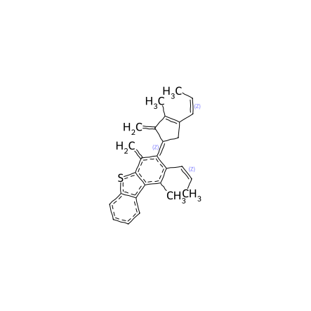 C=C1C(C)=C(/C=C\C)C/C1=c1\c(/C=C\C)c(C)c2c(sc3ccccc32)c1=C